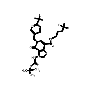 CC(C)(C)OC(=O)NN1CSC2=C1C(=O)C(Cc1ccc(C(F)(F)F)nc1)C=C2C(=O)NCCCC(F)(F)F